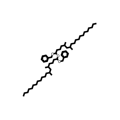 CCCCCCCCCCCCC(C)CC(C)CCCC(OCc1ccccc1)OC(CCCC(C)CC(C)CCCCCCCCCCCC)OCc1ccccc1